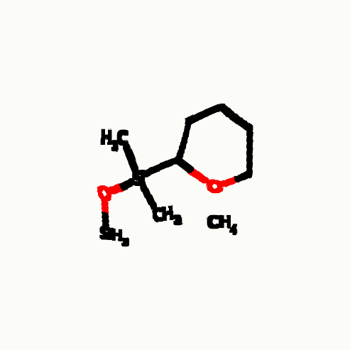 C.C[Si](C)(O[SiH3])C1CCCCO1